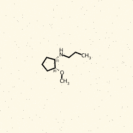 CCCN[C@H]1CCC[C@H]1OC